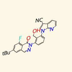 CC(C)(C)c1cc(F)c2c(=O)n(-c3cccc(-n4cc(C#N)c5cccnc54)c3CO)ncc2c1